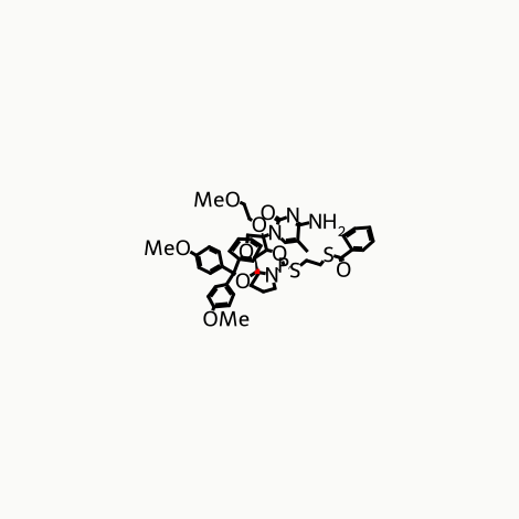 COCCO[C@@]1(n2cc(C)c(N)nc2=O)CO[C@H](COC(c2ccccc2)(c2ccc(OC)cc2)c2ccc(OC)cc2)C1OP(SCCSC(=O)c1ccccc1)N1CCCC1